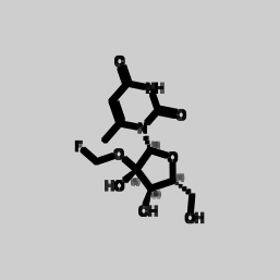 Cc1cc(=O)[nH]c(=O)n1[C@@H]1O[C@H](CO)[C@@H](O)[C@]1(O)OCF